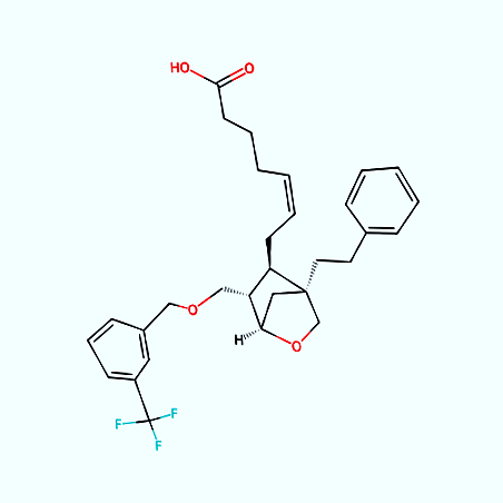 O=C(O)CCC/C=C\C[C@@H]1[C@@H](COCc2cccc(C(F)(F)F)c2)[C@H]2C[C@]1(CCc1ccccc1)CO2